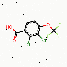 O=C(O)c1ccc(OC(F)(F)F)c(Cl)c1Cl